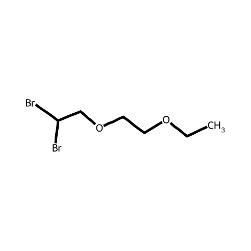 CCOCCOCC(Br)Br